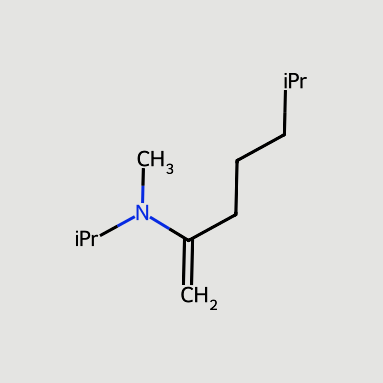 C=C(CCCC(C)C)N(C)C(C)C